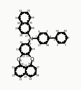 c1ccc(-c2ccc(N(c3ccc4c(c3)Oc3cccc5cccc(c35)O4)c3ccc4ccccc4c3)cc2)cc1